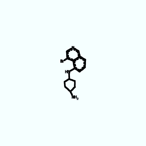 NC1CCC(Nc2cccc3cncc(Br)c23)CC1